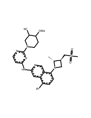 COC1CCN(c2nccc(Nc3cc4c(C(C)C)ccc(N5C[C@H](CS(C)(=O)=O)[C@H]5C)c4cn3)n2)CC1C#N